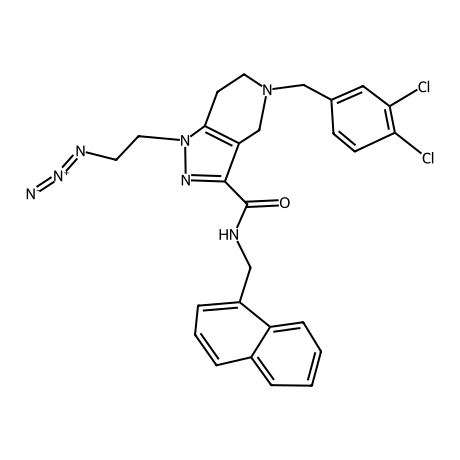 [N-]=[N+]=NCCn1nc(C(=O)NCc2cccc3ccccc23)c2c1CCN(Cc1ccc(Cl)c(Cl)c1)C2